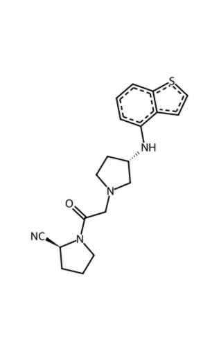 N#C[C@@H]1CCCN1C(=O)CN1CC[C@H](Nc2cccc3sccc23)C1